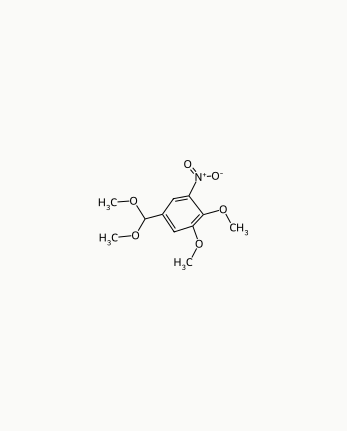 COc1cc(C(OC)OC)cc([N+](=O)[O-])c1OC